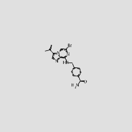 C=C(C)c1cnc2c(NCc3ccc(C(N)=O)cc3)nc(Br)cn12